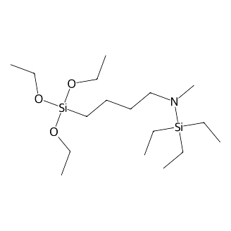 CCO[Si](CCCCN(C)[Si](CC)(CC)CC)(OCC)OCC